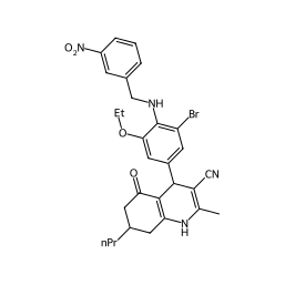 CCCC1CC(=O)C2=C(C1)NC(C)=C(C#N)C2c1cc(Br)c(NCc2cccc([N+](=O)[O-])c2)c(OCC)c1